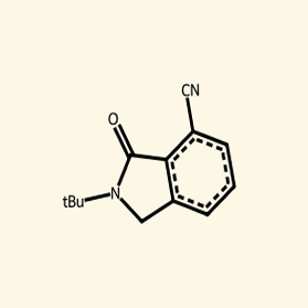 CC(C)(C)N1Cc2cccc(C#N)c2C1=O